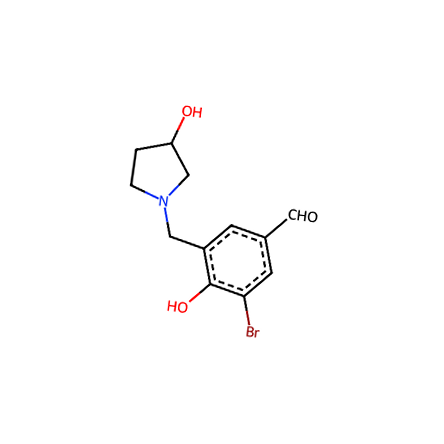 O=Cc1cc(Br)c(O)c(CN2CCC(O)C2)c1